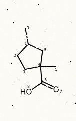 CC1CCC(C)(C(=O)O)C1